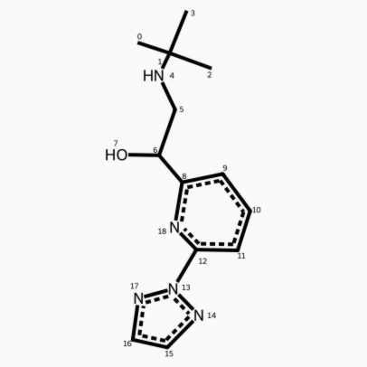 CC(C)(C)NCC(O)c1cccc(-n2nccn2)n1